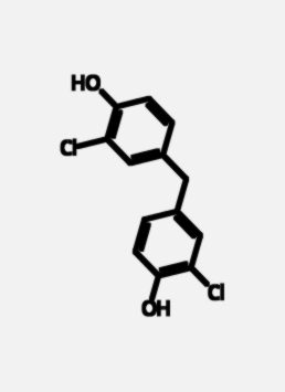 Oc1ccc(Cc2ccc(O)c(Cl)c2)cc1Cl